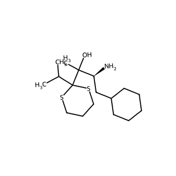 CC(C)C1(C(C)(O)[C@@H](N)CC2CCCCC2)SCCCS1